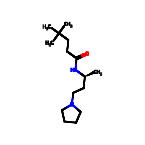 C[C@H](CCN1CCCC1)NC(=O)CCC(C)(C)C